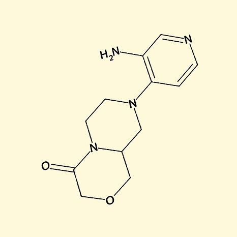 Nc1cnccc1N1CCN2C(=O)COCC2C1